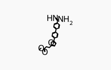 COC(=O)CCc1ccc(-c2ccc(-c3ccc(C(=N)N)cc3)cc2)o1